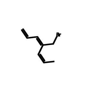 C=C/C=C(\C=C/C)CBr